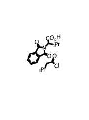 CC(C)C(C(=O)O)N1C(=O)c2ccccc2C1=O.CC(C)CC(=O)Cl